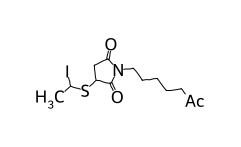 CC(=O)CCCCCN1C(=O)CC(SC(C)I)C1=O